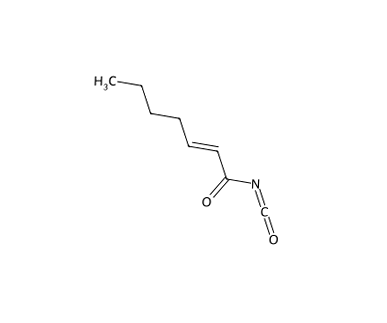 CCCCC=CC(=O)N=C=O